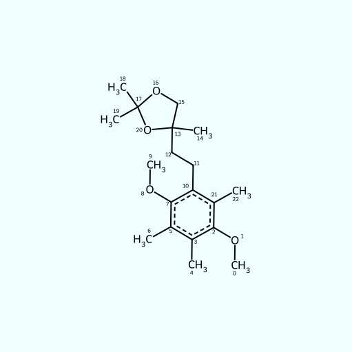 COc1c(C)c(C)c(OC)c(CCC2(C)COC(C)(C)O2)c1C